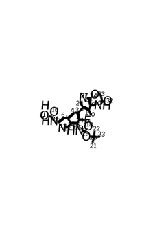 Cc1c(-c2cc3cc(NC(=O)O)ncc3c(NC(=O)OC(C)(C)C)c2F)cnc2c1NC(=O)CO2